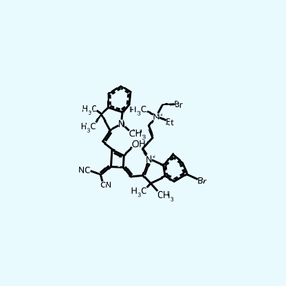 CC[N+](C)(CBr)CCC[N+]1=C(/C=C2C(O)=C(/C=C3\N(C)c4ccccc4C3(C)C)C\2=C(C#N)C#N)C(C)(C)c2cc(Br)ccc21